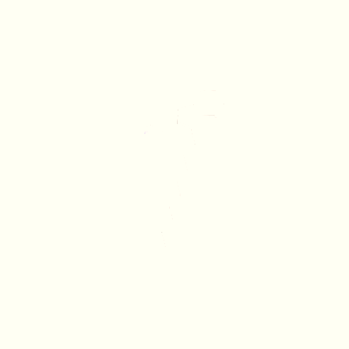 C/C=C/CC1=C(CCCCCCCCCC)c2ccccc2C1